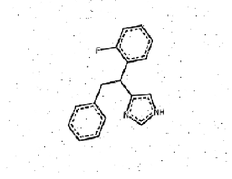 Fc1ccccc1C(Cc1ccccc1)c1c[nH]cn1